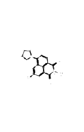 O=C1c2ccc(N3CCCC3)c3cc(Br)cc(c23)C(=O)N1O